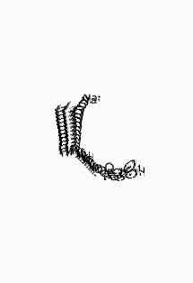 O.O.O.O.O.O.O.O.O.O.O.O.O.O.O.O.O.O.O.O.O.O.O=C(O)O.O=P([O-])([O-])OP(=O)(O)O.[Na+].[Na+]